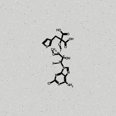 CO[C@H](COC(Cc1ccsc1)(C(=O)O)C(=O)O)[C@@H](O)[C@H](F)n1cnc2c(N)nc(Cl)nc21